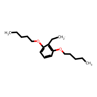 [CH2]Cc1c(OCCCCC)cccc1OCCCCC